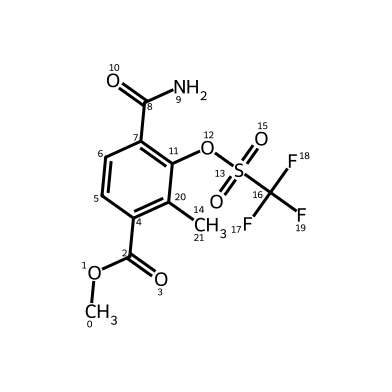 COC(=O)c1ccc(C(N)=O)c(OS(=O)(=O)C(F)(F)F)c1C